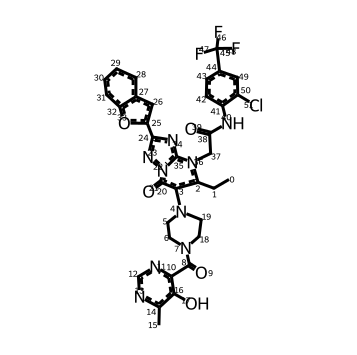 CCc1c(N2CCN(C(=O)c3ncnc(C)c3O)CC2)c(=O)n2nc(-c3cc4ccccc4o3)nc2n1CC(=O)Nc1ccc(C(F)(F)F)cc1Cl